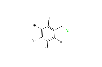 [2H]c1c([2H])c([2H])c(CCl)c([2H])c1[2H]